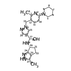 Cc1nc(N2CCCCC2)ccc1Cn1cc(C(O)N[C@@H]2CCc3c2n[nH]c3C)cn1